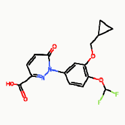 O=C(O)c1ccc(=O)n(-c2ccc(OC(F)F)c(OCC3CC3)c2)n1